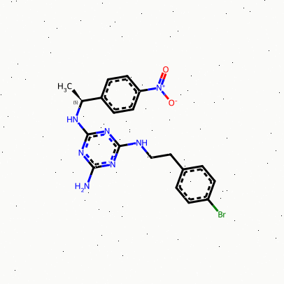 C[C@H](Nc1nc(N)nc(NCCc2ccc(Br)cc2)n1)c1ccc([N+](=O)[O-])cc1